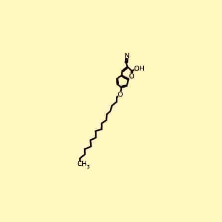 CCCCCCCCCCCCCCCCOc1ccc(C=C(C#N)C(=O)O)cc1